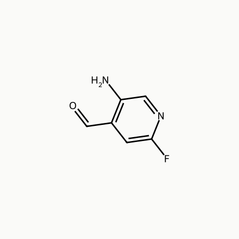 Nc1cnc(F)cc1C=O